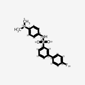 CN(C)c1ccc(NS(=O)(=O)c2cccc(-c3ccc(F)cc3)c2)cc1